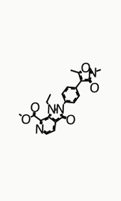 CCn1c2c(C(=O)OC)nccc2c(=O)n1-c1ccc(-c2c(C)on(C)c2=O)cc1